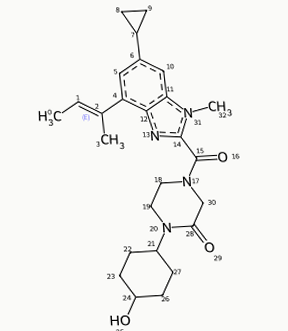 C/C=C(\C)c1cc(C2CC2)cc2c1nc(C(=O)N1CCN(C3CCC(O)CC3)C(=O)C1)n2C